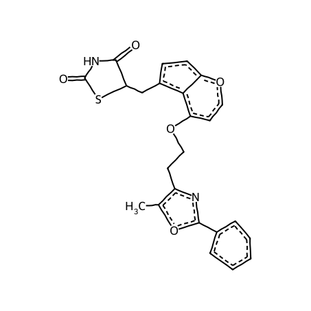 Cc1oc(-c2ccccc2)nc1CCOc1ccoc2ccc(CC3SC(=O)NC3=O)c1-2